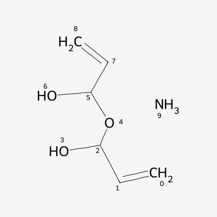 C=CC(O)OC(O)C=C.N